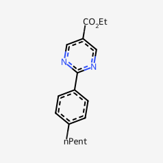 CCCCCc1ccc(-c2ncc(C(=O)OCC)cn2)cc1